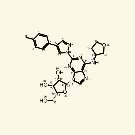 Cc1ccc(-c2cnn(-c3nc(NC4CCOC4)c4ncn([C@@H]5O[C@H](CO)[C@@H](O)[C@H]5O)c4n3)c2)cc1